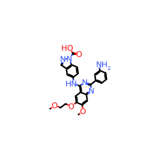 COCCOc1cc2c(Nc3ccc4c(cnn4C(=O)O)c3)nc(-c3cccc(N)c3)nc2cc1OC